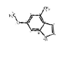 COc1cc(C)c2cc[nH]c2c1